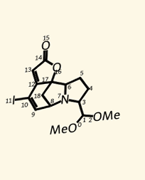 COC(OC)C1CCC2N1C1C=C(I)C3=CC(=O)OC32C1